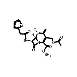 BOC(=O)C1=C(COC(C)=O)C(=C)[S+]([O-])[C@@H]2[C@H](NC(=O)Cc3cccs3)C(=O)N12